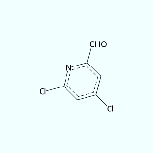 O=Cc1cc(Cl)cc(Cl)n1